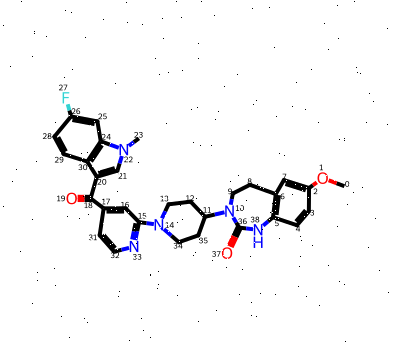 COc1ccc2c(c1)CCN(C1CCN(c3cc(C(=O)c4cn(C)c5cc(F)ccc45)ccn3)CC1)C(=O)N2